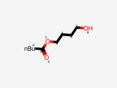 CCCCC(=O)OCCCCO